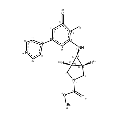 Cn1c(N[C@H]2[C@@H]3CN(C(=O)OC(C)(C)C)C[C@@H]32)nc(-c2ccncc2)cc1=O